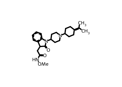 CONC(=O)CC1C(=O)N(C2CCN(C3CCC(=C(C)C)CC3)CC2)c2ccccc21